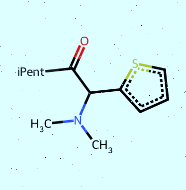 CCCC(C)C(=O)C(c1cccs1)N(C)C